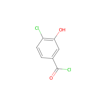 O=C(Cl)c1ccc(Cl)c(O)c1